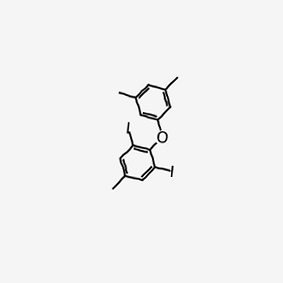 Cc1cc(C)cc(Oc2c(I)cc(C)cc2I)c1